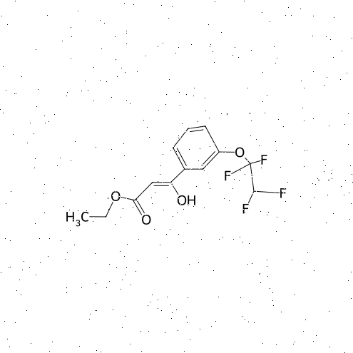 CCOC(=O)/C=C(\O)c1cccc(OC(F)(F)C(F)F)c1